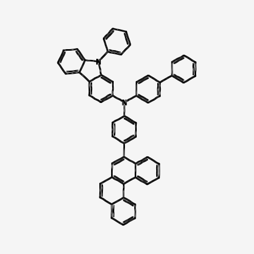 c1ccc(-c2ccc(N(c3ccc(-c4cc5ccc6ccccc6c5c5ccccc45)cc3)c3ccc4c5ccccc5n(-c5ccccc5)c4c3)cc2)cc1